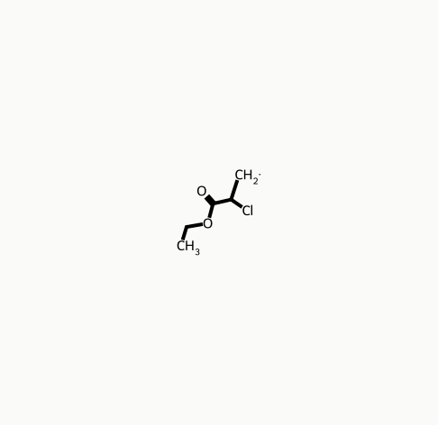 [CH2]C(Cl)C(=O)OCC